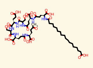 CC(=O)CC[C@H](NC(=O)CC[C@H](NC(=O)C(CO)NC(=O)[C@H](CCC(=O)O)NC(=O)C(CO)NC(=O)CC[C@H](NC(=O)CC[C@H](NC(=O)CCCCCCCCCCCCCCCCC(=O)O)C(=O)O)C(=O)O)C(=O)O)C(=O)O